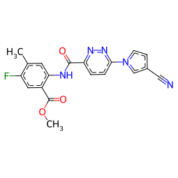 COC(=O)c1cc(F)c(C)cc1NC(=O)c1ccc(-n2ccc(C#N)c2)nn1